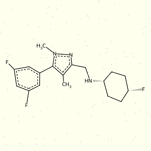 Cc1c(CN[C@H]2CC[C@@H](F)CC2)nn(C)c1-c1cc(F)cc(F)c1